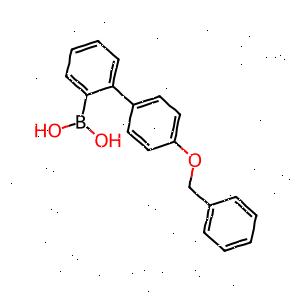 OB(O)c1ccccc1-c1ccc(OCc2ccccc2)cc1